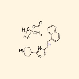 C(=C\c1cccc2ccccc12)/c1csc(C2CCNCC2)n1.CC(C)(C)OC=O